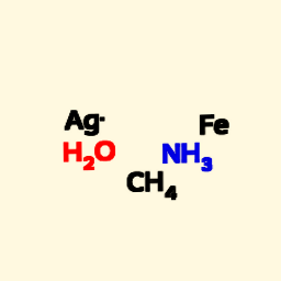 C.N.O.[Ag].[Fe]